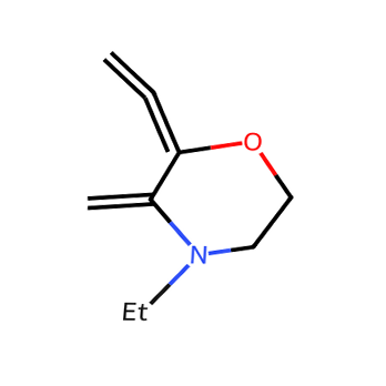 C=C=C1OCCN(CC)C1=C